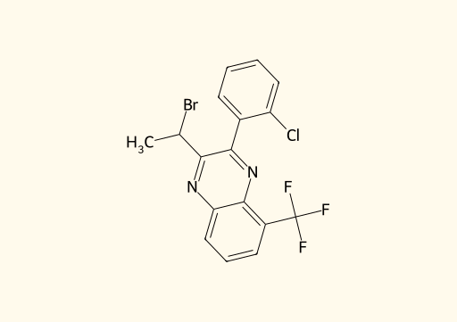 CC(Br)c1nc2cccc(C(F)(F)F)c2nc1-c1ccccc1Cl